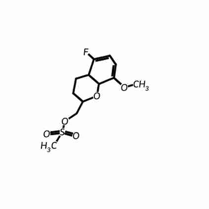 COC1=CC=C(F)C2CCC(COS(C)(=O)=O)OC12